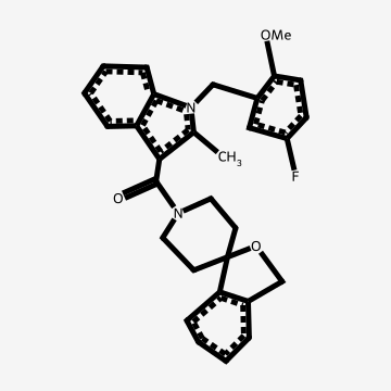 COc1ccc(F)cc1Cn1c(C)c(C(=O)N2CCC3(CC2)OCc2ccccc23)c2ccccc21